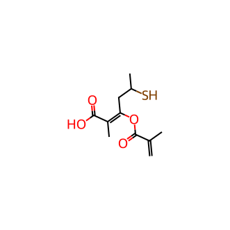 C=C(C)C(=O)OC(CC(C)S)=C(C)C(=O)O